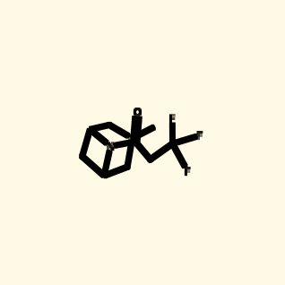 CN1CC2CC(C1)N2C(=O)CC(F)(F)F